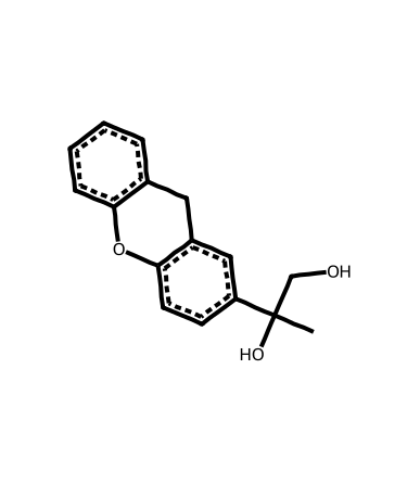 CC(O)(CO)c1ccc2c(c1)Cc1ccccc1O2